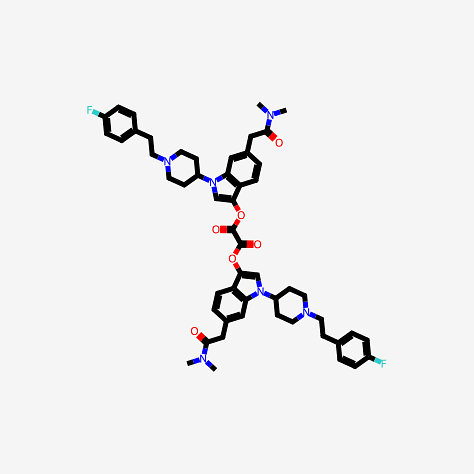 CN(C)C(=O)Cc1ccc2c(OC(=O)C(=O)Oc3cn(C4CCN(CCc5ccc(F)cc5)CC4)c4cc(CC(=O)N(C)C)ccc34)cn(C3CCN(CCc4ccc(F)cc4)CC3)c2c1